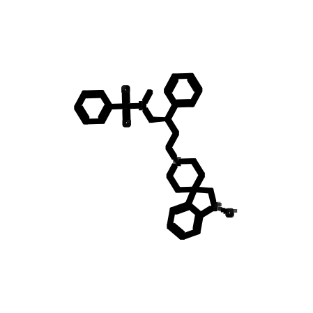 CN(C[C@H](CCN1CCC2(CC1)C[S@+]([O-])c1ccccc12)c1ccccc1)S(=O)(=O)c1ccccc1